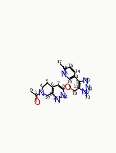 CC(=O)N1CCc2cc(OCc3c(-c4ccc(C)nc4)nnn3C)nnc2C1